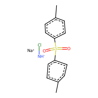 Cc1ccc(S(=O)(=O)c2ccc(C)cc2)cc1.[NH-]Cl.[Na+]